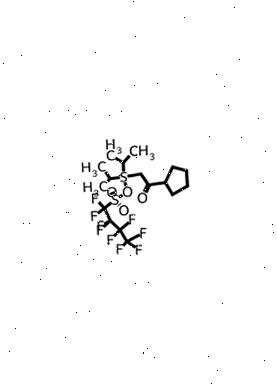 CC(C)S(CC(=O)C1CCCC1)(OS(=O)(=O)C(F)(F)C(F)(F)C(F)(F)C(F)(F)F)C(C)C